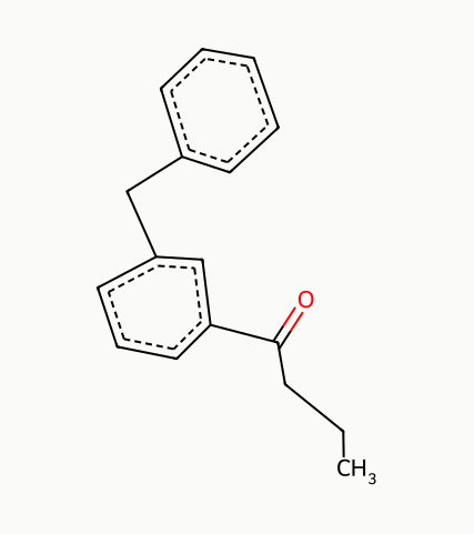 CCCC(=O)c1cccc(Cc2ccccc2)c1